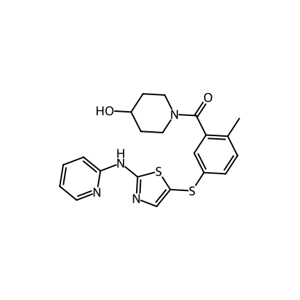 Cc1ccc(Sc2cnc(Nc3ccccn3)s2)cc1C(=O)N1CCC(O)CC1